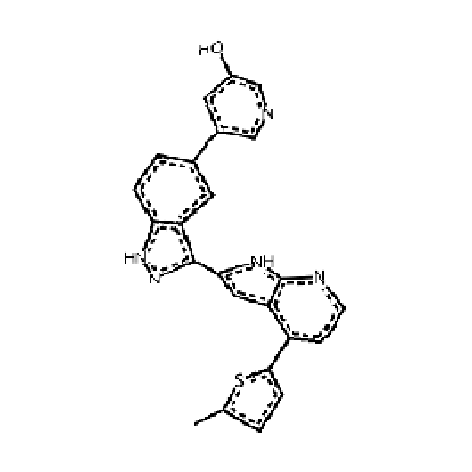 Cc1ccc(-c2ccnc3[nH]c(-c4n[nH]c5ccc(-c6cncc(O)c6)cc45)cc23)s1